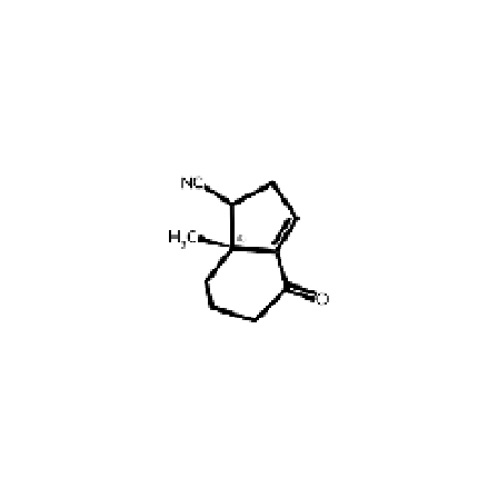 C[C@]12CCCC(=O)C1=CCC2C#N